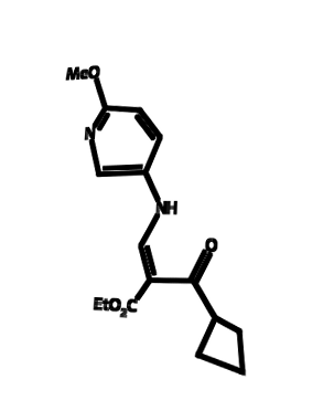 CCOC(=O)C(=CNc1ccc(OC)nc1)C(=O)C1CCC1